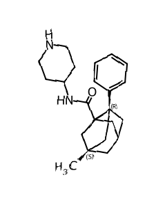 C[C@@]12CC3CC(C(=O)NC4CCNCC4)(C1)[C@](c1ccccc1)(C3)C2